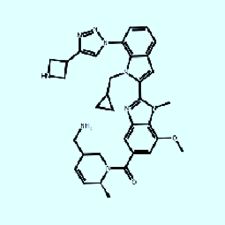 COc1cc(C(=O)N2CC(CN)C=C[C@@H]2C)cc2nc(-c3cc4cccc(-n5cc(C6CNC6)nn5)c4n3CC3CC3)n(C)c12